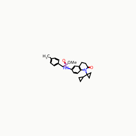 COP(=O)(Cc1ccc(C)cc1)Nc1ccc2c(c1)CCC(=O)N2C1(C2CC2)CC1